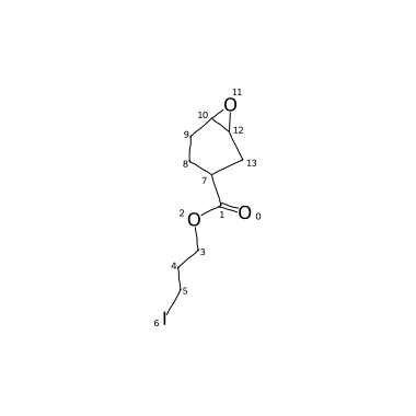 O=C(OCCCI)C1CCC2OC2C1